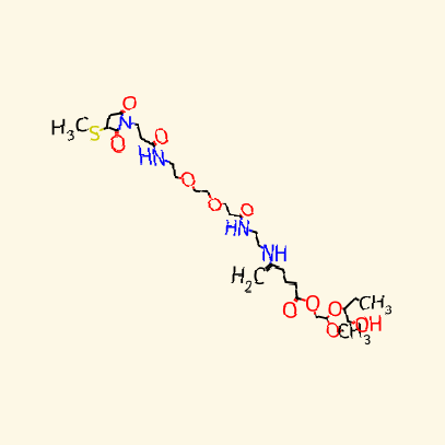 C=C(CCCC(=O)OCC(OC)OC(CC)CO)NCCNC(=O)CCOCCOCCNC(=O)CCN1C(=O)CC(SC)C1=O